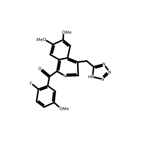 COc1ccc(F)c(C(=O)c2ncc(Cc3nnn[nH]3)c3cc(OC)c(OC)cc23)c1